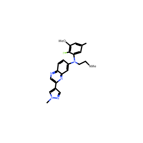 CNCCN(c1ccc2ncc(-c3cnn(C)c3)nc2c1)c1cc(C)cc(OC)c1F